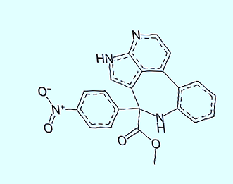 COC(=O)C1(c2ccc([N+](=O)[O-])cc2)Nc2ccccc2-c2ccnc3[nH]cc1c23